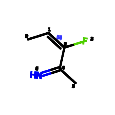 C/C=C(/F)C(C)=N